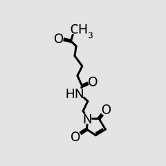 CC(=O)CCCCC(=O)NCCN1C(=O)C=CC1=O